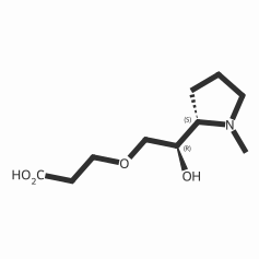 CN1CCC[C@H]1[C@@H](O)COCCC(=O)O